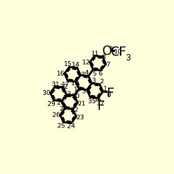 Fc1cc2c(-c3ccc(OC(F)(F)F)cc3)c3ccccc3c(-c3cc4ccccc4c4ccccc34)c2cc1F